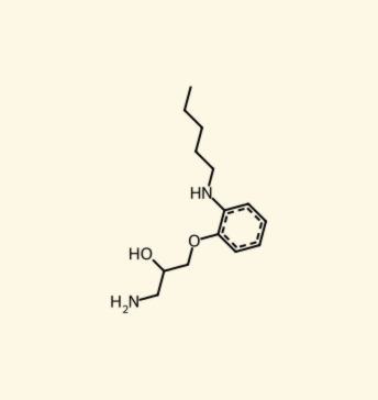 CCCCCNc1ccccc1OCC(O)CN